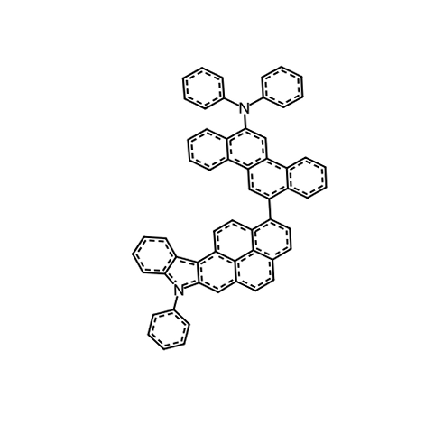 c1ccc(N(c2ccccc2)c2cc3c4ccccc4c(-c4ccc5ccc6cc7c(c8ccc4c5c68)c4ccccc4n7-c4ccccc4)cc3c3ccccc23)cc1